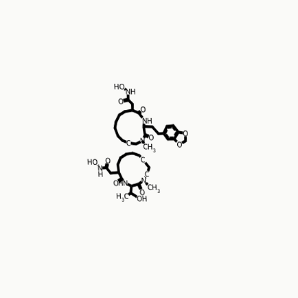 CC(O)C1NC(=O)C(CC(=O)NO)CCCCCCCCN(C)C1=O.CN1CCCCCCCCC(CC(=O)NO)C(=O)NC(CCc2ccc3c(c2)OCO3)C1=O